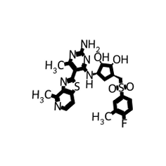 Cc1cc(S(=O)(=O)C[C@H]2C[C@@H](Nc3nc(N)nc(C)c3-c3nc4c(C)nccc4s3)[C@H](O)[C@@H]2O)ccc1F